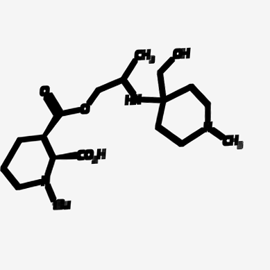 CC(COC(=O)[C@@H]1CCCN(C(C)(C)C)[C@@H]1C(=O)O)NC1(CO)CCN(C)CC1